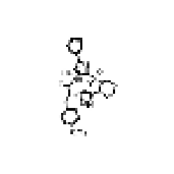 COc1ccc(CC(C(=O)NO)n2cc(C3CCCCN3S(=O)(=O)c3ccc(-c4ccccc4)s3)nn2)cc1